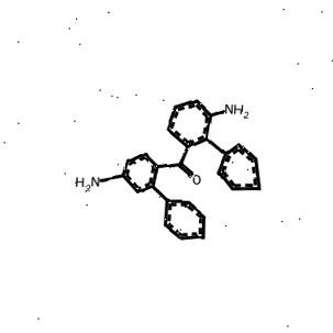 Nc1ccc(C(=O)c2cccc(N)c2-c2ccccc2)c(-c2ccccc2)c1